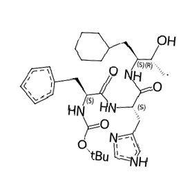 [CH2][C@@H](O)[C@H](CC1CCCCC1)NC(=O)[C@H](Cc1c[nH]cn1)NC(=O)[C@H](Cc1ccccc1)NC(=O)OC(C)(C)C